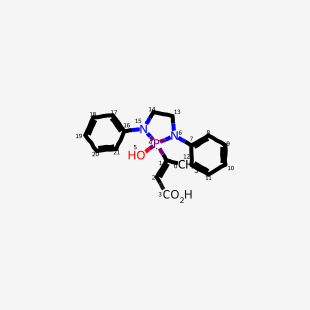 C/C(=C\C(=O)O)[P]1(O)N(c2ccccc2)CCN1c1ccccc1